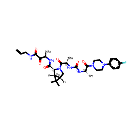 C=CCNC(=O)C(=O)C(CCCC)NC(=O)[C@@H]1[C@@H]2[C@H](CN1C(=O)[C@@H](NC(=O)N[C@H](C(=O)N1CCN(c3ccc(F)cc3)CC1)C(C)C)C(C)(C)C)C2(C)C